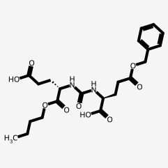 CCCCOC(=O)[C@H](CCC(=O)O)NC(=O)N[C@@H](CCC(=O)OCc1ccccc1)C(=O)O